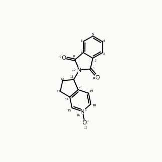 O=C1c2ccccc2C(=O)N1C1CCc2c[n+]([O-])ccc21